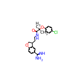 CC(C)(Oc1ccc(Cl)cc1)C(=O)NCCC1COc2ccc(C(=N)N)cc21